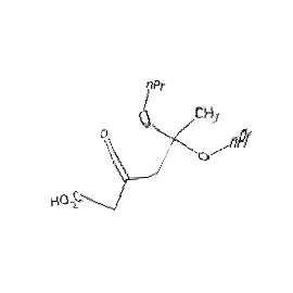 CCCOC(C)(CC(=O)CC(=O)O)OCCC